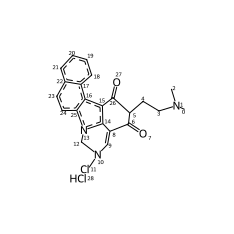 CN(C)CCC1C(=O)C2=CN(Cl)Cn3c2c(c2c4ccccc4ccc23)C1=O.Cl